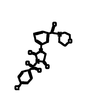 O=C(c1cccc(N2CC(=O)N(S(=O)(=O)c3ccc(Cl)cc3)C2=O)c1)N1CCOCC1